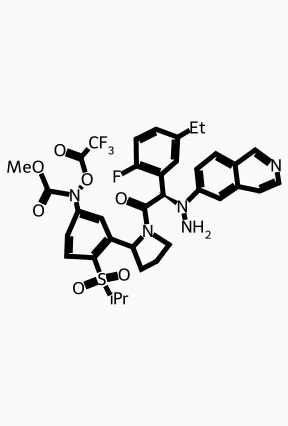 CCc1ccc(F)c([C@H](C(=O)N2CCCC2c2cc(N(OC(=O)C(F)(F)F)C(=O)OC)ccc2S(=O)(=O)C(C)C)N(N)c2ccc3cnccc3c2)c1